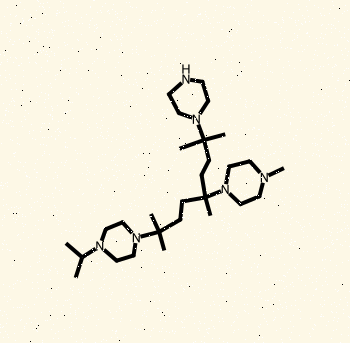 CC(C)N1CCN(C(C)(C)CCC(C)(CCC(C)(C)N2CCNCC2)N2CCN(C)CC2)CC1